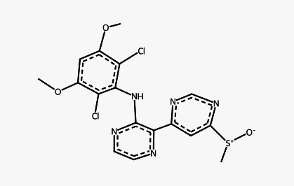 COc1cc(OC)c(Cl)c(Nc2nccnc2-c2cc([S+](C)[O-])ncn2)c1Cl